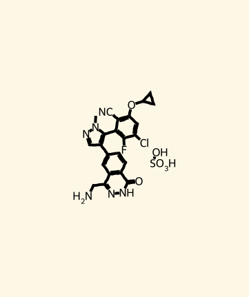 Cn1ncc(-c2ccc3c(=O)[nH]nc(CN)c3c2)c1-c1c(F)c(Cl)cc(OC2CC2)c1C#N.O=S(=O)(O)O